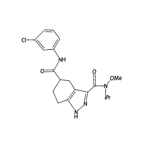 CON(C(=O)c1n[nH]c2c1CC(C(=O)Nc1cccc(Cl)c1)CC2)C(C)C